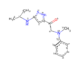 CC(C)Nc1cc(C(=O)CN(C)c2ccccc2)[nH]n1